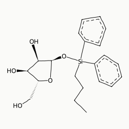 CCCC[Si](O[C@H]1O[C@H](CO)[C@@H](O)[C@H]1O)(c1ccccc1)c1ccccc1